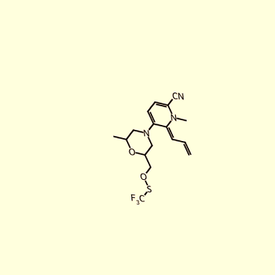 C=C/C=C1/C(N2CC(C)OC(COSC(F)(F)F)C2)=CC=C(C#N)N1C